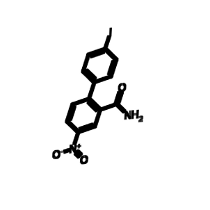 NC(=O)c1cc([N+](=O)[O-])ccc1-c1ccc(I)cc1